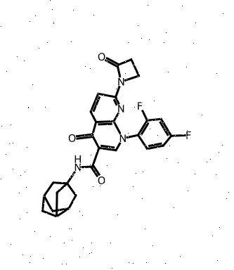 O=C(NC12CC3CC(C1)C(C3)C2)c1cn(-c2ccc(F)cc2F)c2nc(N3CCC3=O)ccc2c1=O